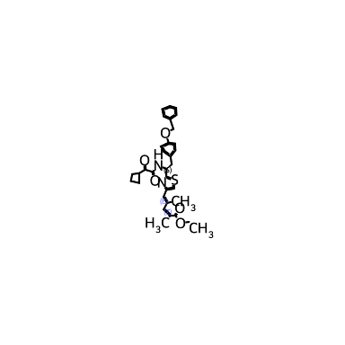 CCOC(=O)/C(C)=C\C(C)=C\c1csc([C@H](Cc2ccc(OCc3ccccc3)cc2)NC(=O)C(=O)C2CCC2)n1